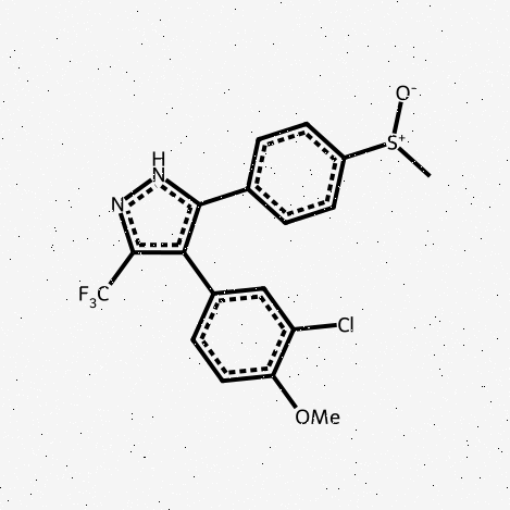 COc1ccc(-c2c(C(F)(F)F)n[nH]c2-c2ccc([S+](C)[O-])cc2)cc1Cl